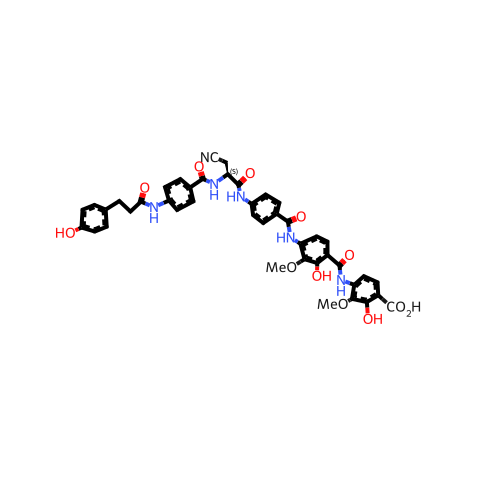 COc1c(NC(=O)c2ccc(NC(=O)c3ccc(NC(=O)[C@H](CC#N)NC(=O)c4ccc(NC(=O)CCc5ccc(O)cc5)cc4)cc3)c(OC)c2O)ccc(C(=O)O)c1O